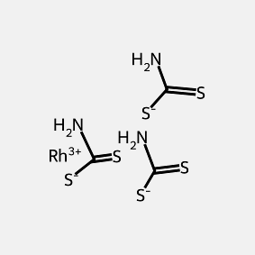 NC(=S)[S-].NC(=S)[S-].NC(=S)[S-].[Rh+3]